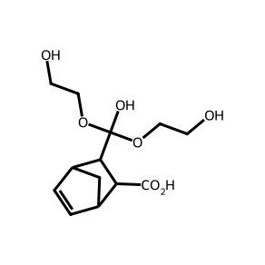 O=C(O)C1C2C=CC(C2)C1C(O)(OCCO)OCCO